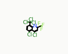 FC(F)(F)c1cc(Cl)c2c(Cl)ccc(C(Cl)(Cl)Cl)c2n1